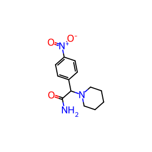 NC(=O)C(c1ccc([N+](=O)[O-])cc1)N1CCCCC1